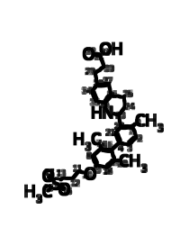 Cc1ccc(-c2c(C)cc(OCCCS(C)(=O)=O)cc2C)cc1C1CCc2cc(CCC(=O)O)ccc2N1